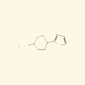 CC1CCC(c2cccs2)CC1